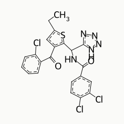 CCc1cc(C(=O)c2ccccc2Cl)c(C(NC(=O)c2ccc(Cl)c(Cl)c2)c2nnn[nH]2)s1